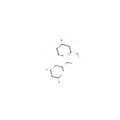 C.OC[C@H]1O[C@H](O[C@H]2[C@H](O)[C@@H](O)[C@H](O)O[C@@H]2CO)[C@H](O)[C@@H](O)[C@@H]1O